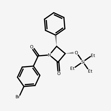 CC[Si](CC)(CC)O[C@@H]1C(=O)N(C(=O)c2ccc(Br)cc2)[C@@H]1c1ccccc1